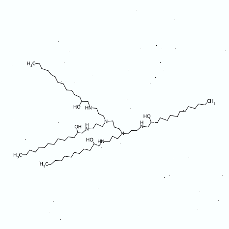 CCCCCCCCCCCCC(O)CNCCCN(CCCNCC(O)CCCCCCCCCC)CCCN(CCCNCC(O)CCCCCCCCCCCC)CCCNCC(O)CCCCCCCCCCCC